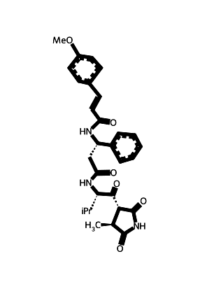 COc1ccc(/C=C/C(=O)N[C@@H](CC(=O)N[C@H](C(=O)[C@@H]2C(=O)NC(=O)[C@H]2C)C(C)C)c2ccccc2)cc1